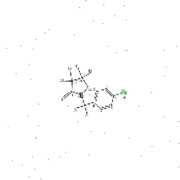 C=C1B(C(C)(C)c2ccc(Br)cc2)CC(C)(C)C1(C)C